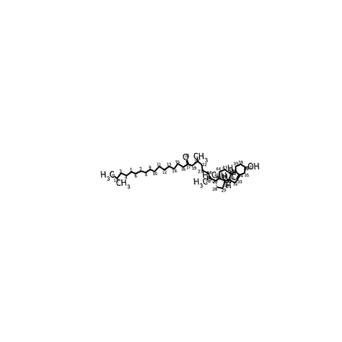 CC(C)CCCCCCCCCCCCCCC(=O)CC(C)CCC[C@@H](C)[C@H]1CC[C@H]2[C@@H]3CC=C4C[C@@H](O)CC[C@]4(C)[C@H]3CC[C@]12C